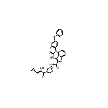 Cc1cc(Oc2ccccc2)ccc1N1C(=O)Nc2c(C(=O)N[C@H]3CCN(C(=O)/C(C#N)=C/C4CC4)C3)sc3nccc1c23